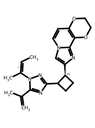 C=C(C)c1nc(C2CC[C@@H]2c2cn3ccc4c(c3n2)OCCO4)nn1/C(C)=C\C